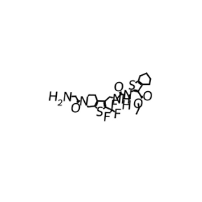 CCOC(=O)c1c(NC(=O)NCc2c(C(F)(F)F)sc3c2CCN(C(=O)CN)C3)sc2c1CCCC2